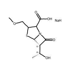 COCC1SC2[C@@H]([C@@H](C)O)C(=O)N2C1C(=O)O.[NaH]